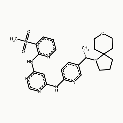 C[C@@H](c1ccc(Nc2cc(Nc3ncccc3S(C)(=O)=O)ncn2)nc1)N1CCCC12CCOCC2